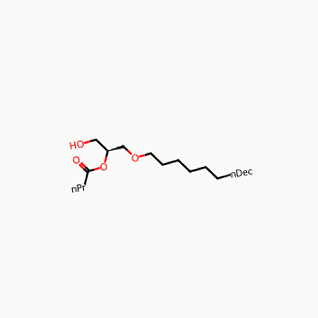 CCCCCCCCCCCCCCCCOC[C@H](CO)OC(=O)CCC